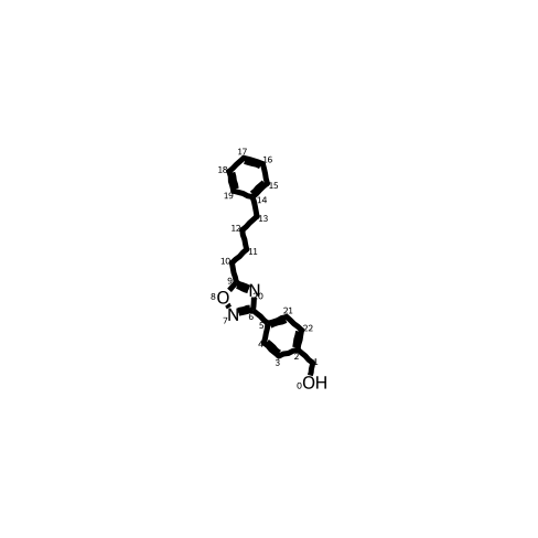 OCc1ccc(-c2noc(CCCCc3ccccc3)n2)cc1